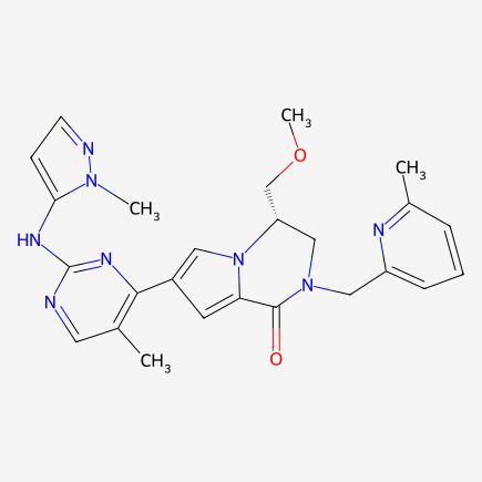 COC[C@@H]1CN(Cc2cccc(C)n2)C(=O)c2cc(-c3nc(Nc4ccnn4C)ncc3C)cn21